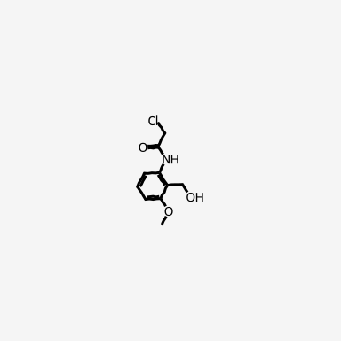 COc1cccc(NC(=O)CCl)c1CO